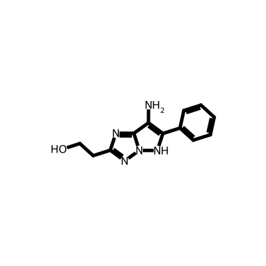 Nc1c(-c2ccccc2)[nH]n2nc(CCO)nc12